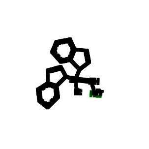 CCC[SiH]=[Zr]([CH2]C)([CH]1C=Cc2ccccc21)[CH]1C=Cc2ccccc21.Cl